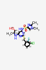 Cc1nc(S(=O)(=O)Nc2cc(N[C@H](C)CO)nc(SCc3cccc(Cl)c3F)n2)cn1C